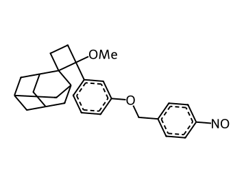 COC1(c2cccc(OCc3ccc(N=O)cc3)c2)CCC12C1CC3CC(C1)CC2C3